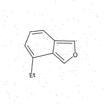 CCc1cccc2[c]occ12